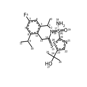 CC(C)c1cc(F)cc(C(C)C)c1CC(=S)N=[S@@](N)(=O)c1ncc(C(C)(C)O)s1